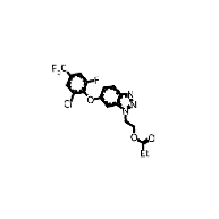 CCC(=O)OCCn1nnc2ccc(Oc3c(F)cc(C(F)(F)F)cc3Cl)cc21